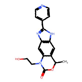 CC1OC(=O)N(CCO)c2cc3nc(-c4ccncc4)[nH]c3cc21